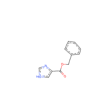 O=C(OCc1ccccc1)c1c[nH]cn1